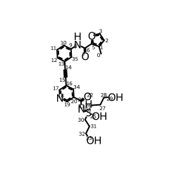 Cc1ccoc1C(=O)Nc1cccc(C#Cc2cncc(C(=O)N=[SH](O)(CCCO)CCCO)c2)c1